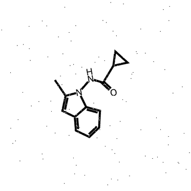 Cc1cc2ccccc2n1NC(=O)C1CC1